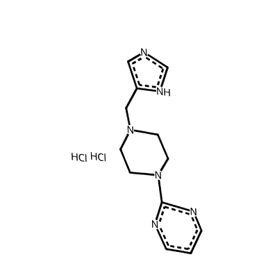 Cl.Cl.c1cnc(N2CCN(Cc3cnc[nH]3)CC2)nc1